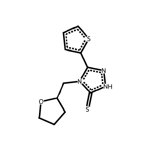 S=c1[nH]nc(-c2cccs2)n1CC1CCCO1